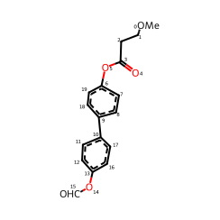 COCCC(=O)Oc1ccc(-c2ccc(OC=O)cc2)cc1